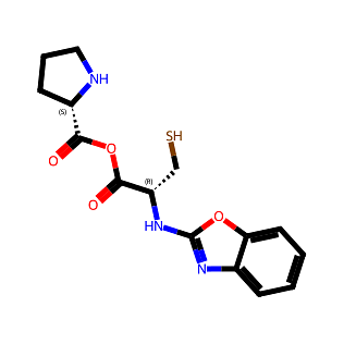 O=C(OC(=O)[C@H](CS)Nc1nc2ccccc2o1)[C@@H]1CCCN1